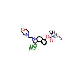 CN(C)C(=O)Oc1cccc2c1CCC1C2CCN1CCN1CCOCC1.Cl.Cl